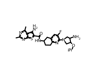 Cc1nc(C)c2c(N)c(C(=O)NC3CCc4nc(N5CC(N)C(OC(C)C)C5)c(F)cc4C3)sc2n1